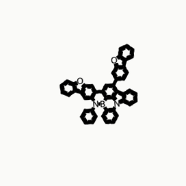 c1ccc(N2B3c4ccccc4-n4c5ccccc5c5c(-c6ccc7c(c6)oc6ccccc67)cc(c3c54)-c3cc4oc5ccccc5c4cc32)cc1